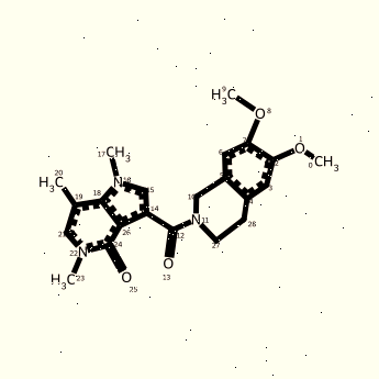 COc1cc2c(cc1OC)CN(C(=O)c1cn(C)c3c(C)cn(C)c(=O)c13)CC2